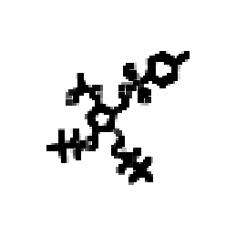 CC(=O)O[C@@H]1C[C@H](O[Si](C)(C)C(C)(C)C)[C@@H](CO[Si](C)(C)C(C)(C)C)[C@@H]1COS(=O)(=O)c1ccc(C)cc1